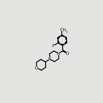 Cc1ccc(C(=O)N2CCN(C3CCOCC3)CC2)c(F)c1